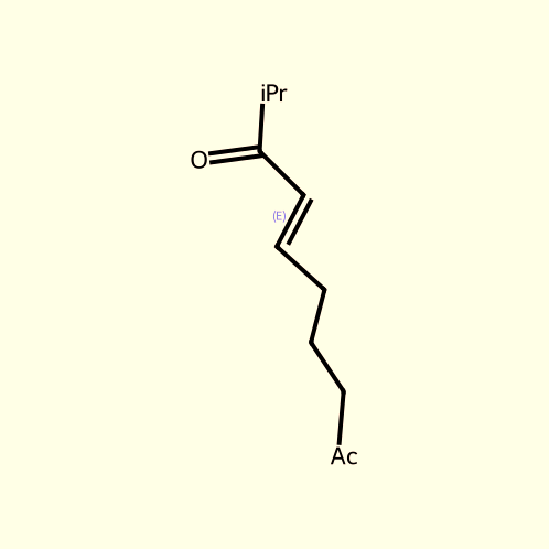 CC(=O)CCC/C=C/C(=O)C(C)C